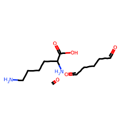 C=O.NCCCCC(N)C(=O)O.O=CCCCC=O